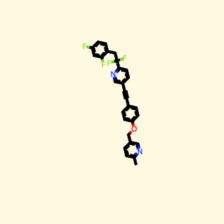 Cc1ccc(COc2ccc(C#Cc3ccc(C(F)(F)Cc4ccc(F)cc4F)nc3)cc2)cn1